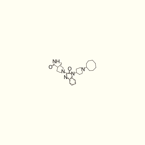 NC(=O)C1CCN(c2nc3ccccc3n(C3CCN(C4CCCCCCC4)CC3)c2=O)CC1